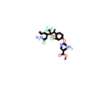 C=C/C=C(\C=C(/N)Cl)C(O)(C(C)c1ccc(OC(=C)/N=C\C(=C/N)C(=O)OC)cc1Cl)C(F)(F)F